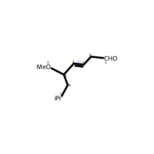 COC(/C=C/CC=O)CC(C)C